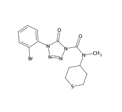 CN(C(=O)n1nnn(-c2ccccc2Br)c1=O)C1CCSCC1